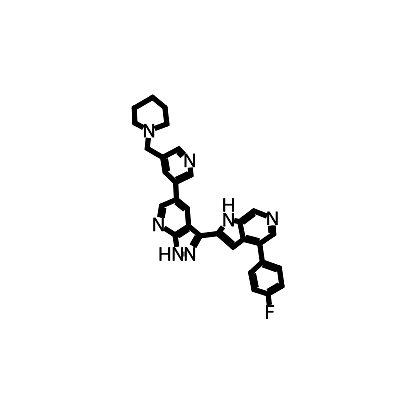 Fc1ccc(-c2cncc3[nH]c(-c4n[nH]c5ncc(-c6cncc(CN7CCCCC7)c6)cc45)cc23)cc1